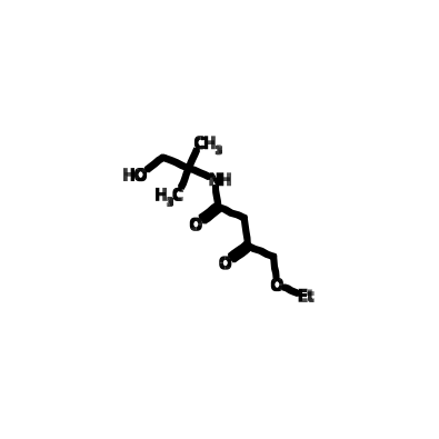 CCOCC(=O)CC(=O)NC(C)(C)CO